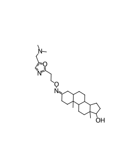 CN(C)Cc1cnc(CCON=C2CCC3(C)C(CCC4C5CCC(O)C5(C)CCC43)C2)o1